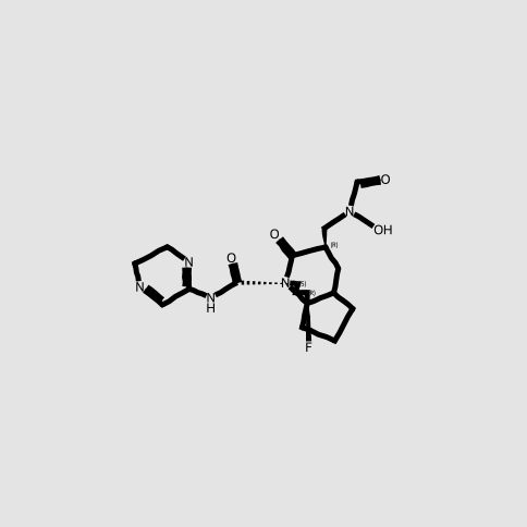 O=CN(O)C[C@H]1CC2CCCC23[C@H](F)C[C@@H](C(=O)NC2=NCCN=C2)N3C1=O